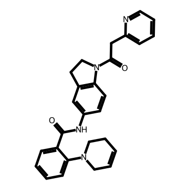 O=C(Nc1ccc2c(c1)CCN2C(=O)Cc1ccccn1)c1ccccc1N1CC=CCC1